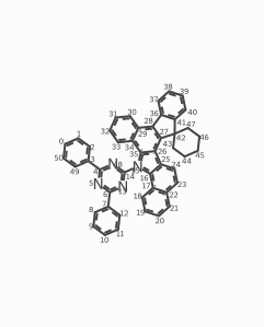 c1ccc(-c2nc(-c3ccccc3)nc(-n3c4c5ccccc5ccc4c4c5c(c6ccccc6c43)-c3ccccc3C53CCCCC3)n2)cc1